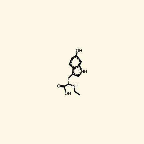 CCN[C@@H](Cc1c[nH]c2cc(O)ccc12)C(=O)O